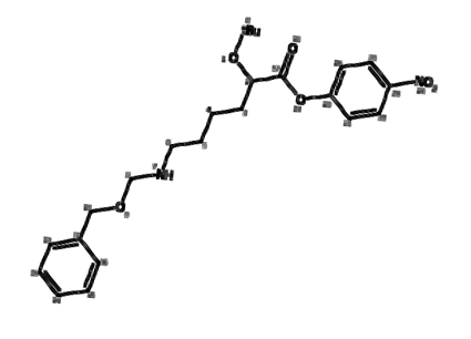 CC(C)(C)OC(CCCCNCOCc1ccccc1)C(=O)Oc1ccc([N+](=O)[O-])cc1